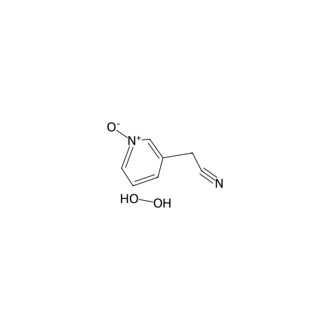 N#CCc1ccc[n+]([O-])c1.OO